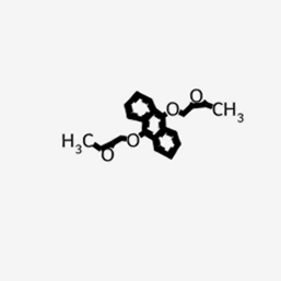 CC1OC1COc1c2ccccc2c(OCC2OC2C)c2ccccc12